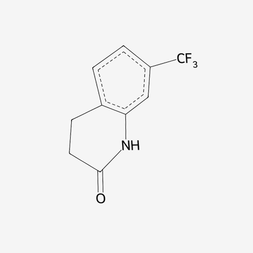 O=C1CCc2ccc(C(F)(F)F)cc2N1